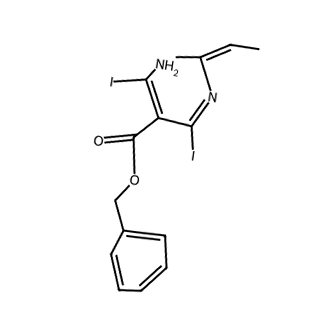 C\C=C(C)/N=C(I)\C(C(=O)OCc1ccccc1)=C(/N)I